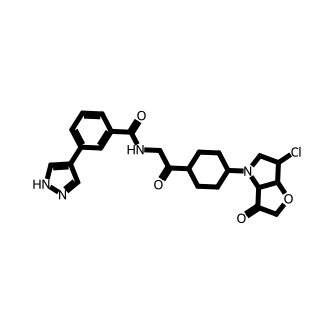 O=C(NCC(=O)C1CCC(N2CC(Cl)C3OCC(=O)C32)CC1)c1cccc(-c2cn[nH]c2)c1